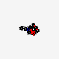 c1ccc(-c2ccc(N(c3cccc(-c4ccccc4)c3)c3ccc4c(c3)C3(c5ccccc5-4)c4ccccc4C4(c5ccccc5-c5ccccc54)c4ccccc43)cc2)cc1